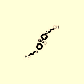 O=S(=O)(c1ccc(SCCCO)cc1)c1ccc(SCCCO)cc1